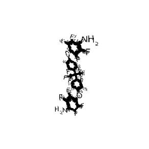 Nc1c(F)c(F)c(Oc2ccc(C(c3ccc(Oc4c(F)c(F)c(N)c(F)c4F)cc3)(C(F)(F)F)C(F)(F)F)cc2)c(F)c1F